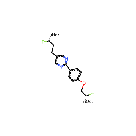 CCCCCCCC[C@@H](F)COc1ccc(-c2ncc(CC[C@H](F)CCCCCC)cn2)cc1